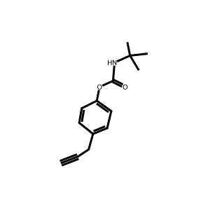 C#CCc1ccc(OC(=O)NC(C)(C)C)cc1